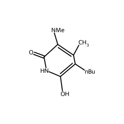 CCCCc1c(O)[nH]c(=O)c(NC)c1C